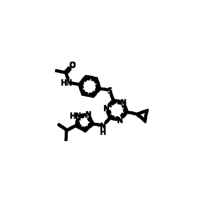 CC(=O)Nc1ccc(Sc2nc(Nc3cc(C(C)C)[nH]n3)nc(C3CC3)n2)cc1